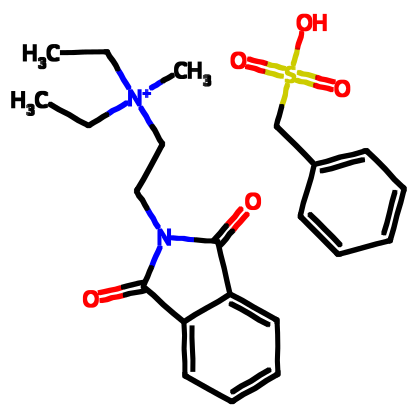 CC[N+](C)(CC)CCN1C(=O)c2ccccc2C1=O.O=S(=O)(O)Cc1ccccc1